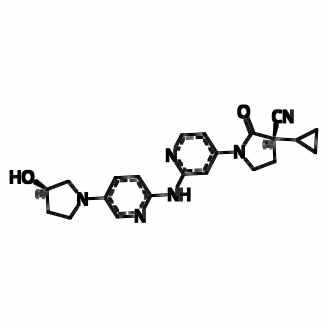 N#C[C@@]1(C2CC2)CCN(c2ccnc(Nc3ccc(N4CC[C@@H](O)C4)cn3)c2)C1=O